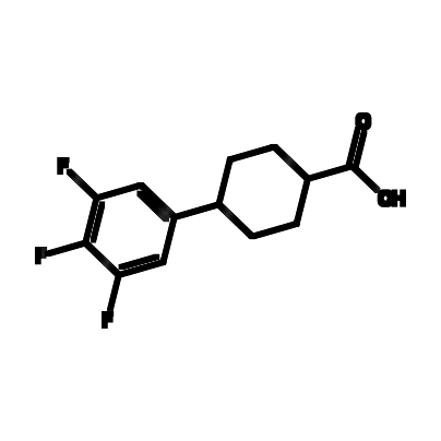 O=C(O)C1CCC(c2cc(F)c(F)c(F)c2)CC1